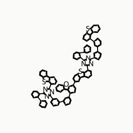 c1ccc(-c2ccccc2-c2nc(-c3cccc(-c4cccc(-c5ccc(-c6ccc7sc8c(-c9nc(-c%10cccc(-c%11cccc(-c%12cccc%13sc%14ccccc%14c%12%13)c%11)c%10)nc(-c%10ccccc%10-c%10ccccc%10)n9)cccc8c7c6)c6oc7ccccc7c56)c4)c3)nc(-c3cccc4c3sc3ccccc34)n2)cc1